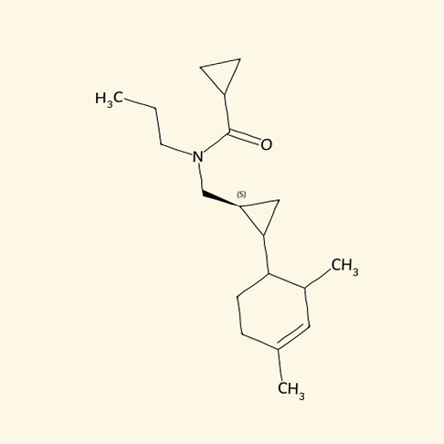 CCCN(C[C@H]1CC1C1CCC(C)=CC1C)C(=O)C1CC1